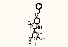 CO[C@H]1C[C@@H](OCc2ccccc2)CC[C@@H]1NC(=O)[C@H](CCSC)NC(=O)O